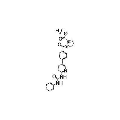 COC(=O)[C@@H]1CCC[C@H]1C(=O)c1ccc(-c2ccc(NC(=O)Nc3ccccc3)nc2)cc1